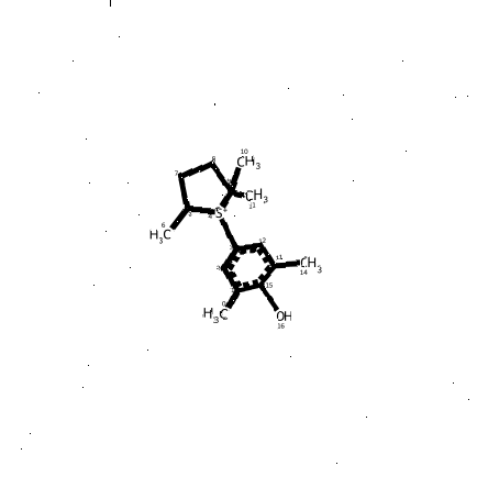 Cc1cc([S+]2C(C)CCC2(C)C)cc(C)c1O